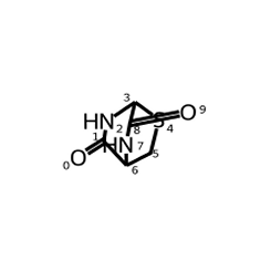 O=C1NC2SCC1NC2=O